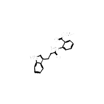 COC(=O)c1ccccc1NC(=O)CCc1c[nH]c2ccccc12